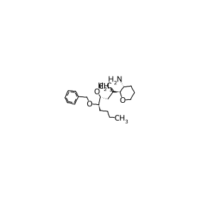 C=C(C[C@@H](OC)[C@@H](CCCC)OCc1ccccc1)[C@@H]1OCCC[C@H]1N